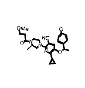 COCCC(=O)N1CCN(c2nc(C3CC3)c(OC(C)c3ccc(Cl)cc3)cc2C#N)C[C@H]1C